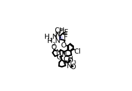 CN(N)/C(=C(\N)COc1ccc(Cl)c2c1C(CN1CCCC1=O)N(C(=O)C1CCCC[C@]1(C)C(=O)N=O)CC2)C(F)(F)F